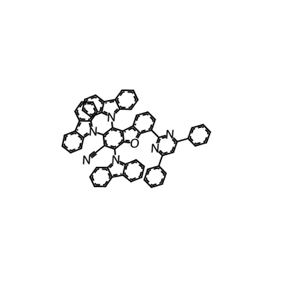 N#Cc1c(-n2c3ccccc3c3ccccc32)c(-n2c3ccccc3c3ccccc32)c2c(oc3c(-c4nc(-c5ccccc5)cc(-c5ccccc5)n4)cccc32)c1-n1c2ccccc2c2ccccc21